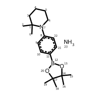 CC1(C)CCCCN1c1ccc(B2OC(C)(C)C(C)(C)O2)cc1.N